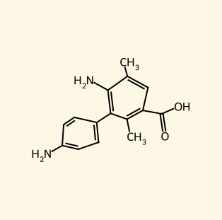 Cc1cc(C(=O)O)c(C)c(-c2ccc(N)cc2)c1N